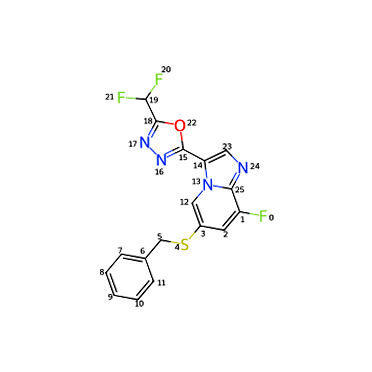 Fc1cc(SCc2ccccc2)cn2c(-c3nnc(C(F)F)o3)cnc12